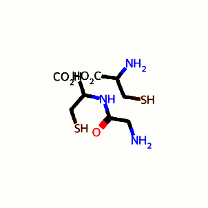 NC(CS)C(=O)O.NCC(=O)NC(CS)C(=O)O